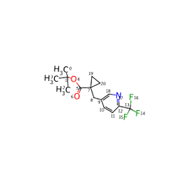 CC(C)(C)OC(=O)C1(Cc2ccc(C(F)(F)F)nc2)CC1